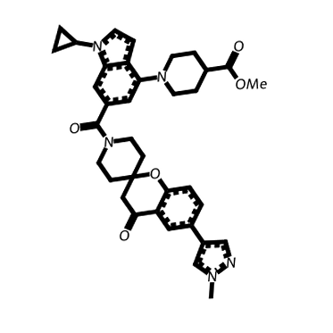 COC(=O)C1CCN(c2cc(C(=O)N3CCC4(CC3)CC(=O)c3cc(-c5cnn(C)c5)ccc3O4)cc3c2ccn3C2CC2)CC1